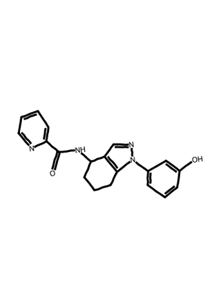 O=C(NC1CCCc2c1cnn2-c1cccc(O)c1)c1ccccn1